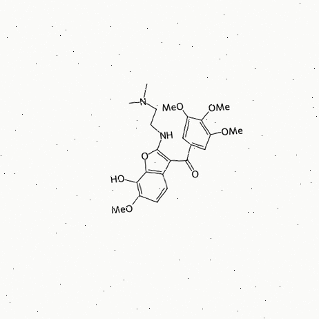 COc1cc(C(=O)c2c(NCCN(C)C)oc3c(O)c(OC)ccc23)cc(OC)c1OC